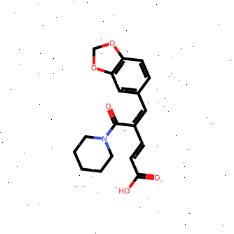 O=C(O)/C=C/C(=Cc1ccc2c(c1)OCO2)C(=O)N1CCCCC1